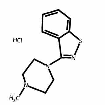 CN1CCN(c2nsc3ccccc23)CC1.Cl